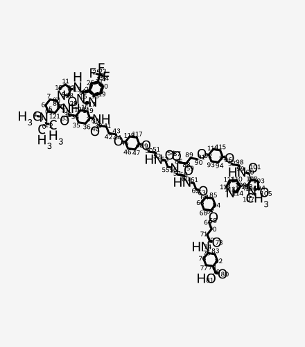 CC(C)N(C)[C@@H]1CC[C@H](N2CC[C@H](Nc3ncnc4ccc(C(F)(F)F)cc34)C2=O)[C@H](NC(=O)C2CCC(NC(=O)CCCOC3CCC(OCCNC(=O)CN(CC(=O)NCCOC4CCC(OCCCC(=O)NC5CCC(C(=O)O)CC5)CC4)C(=O)CCCOC4CCC(OCCNC(=O)[C@H]5CC(=O)N(C)[C@@H]5c5cccnc5)CC4)CC3)CC2)C1